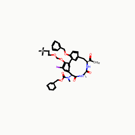 COC(=O)[C@@H]1Cc2ccc(OCc3ccccc3)c(c2)-c2cc(cc(I)c2OCOCC[Si](C)(C)C)[C@H](N(C)C(=O)OCc2ccccc2)C(=O)N[C@@H](C)C(=O)N1